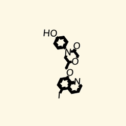 O=C1COC(COc2ccc(I)c3cccnc23)CN1c1ccc(O)cc1